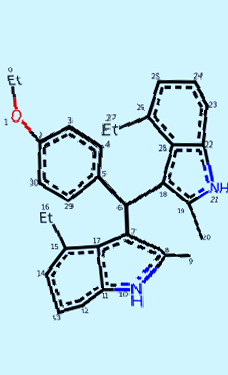 CCOc1ccc(C(c2c(C)[nH]c3cccc(CC)c23)c2c(C)[nH]c3cccc(CC)c23)cc1